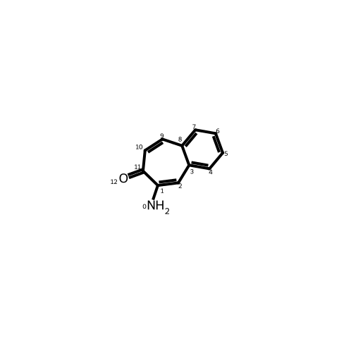 Nc1cc2ccccc2ccc1=O